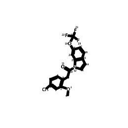 COc1cc(Cl)ccc1CC(=O)n1ccc2ccc(OC(F)(F)F)cc21